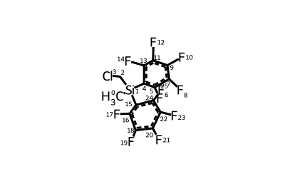 C[Si](CCl)(c1c(F)c(F)c(F)c(F)c1F)c1c(F)c(F)c(F)c(F)c1F